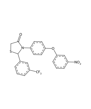 O=C1CSC(c2cccc(C(F)(F)F)c2)N1c1ccc(Oc2cccc([N+](=O)[O-])c2)cc1